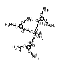 NNCCOc1cc(OCCNN)cc(C(=O)NCCCOCC(COCCCNC(=O)c2cc(OCCNN)cc(OCCNN)c2)(COCCCNC(=O)c2cc(OCCNN)cc(OCCNN)c2)NC(N)=O)c1